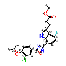 CCOC(=O)CCc1c[nH]c2c(-c3noc(-c4ccc(OC(C)C)c(Cl)c4)n3)ccc(F)c12